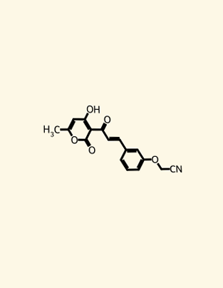 Cc1cc(O)c(C(=O)C=Cc2cccc(OCC#N)c2)c(=O)o1